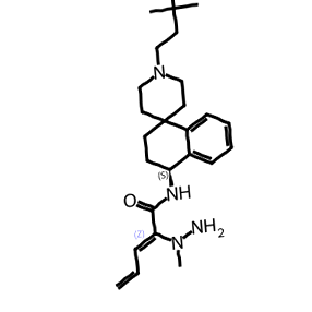 C=C/C=C(/C(=O)N[C@H]1CCC2(CCN(CCC(C)(C)C)CC2)c2ccccc21)N(C)N